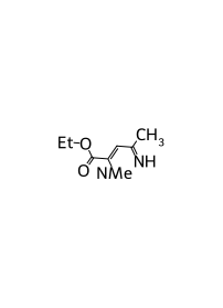 CCOC(=O)/C(=C/C(C)=N)NC